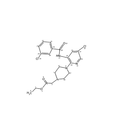 CCOC(=O)CC1CCN(c2ncc(Cl)cc2NC(=O)c2cccc(Cl)c2)CC1